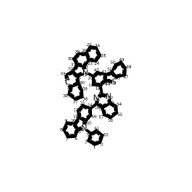 c1ccc(-n2c3ccccc3c3ccc(-c4nc(-c5cc(-n6c7c8ccccc8ccc7c7ccc8ccccc8c76)cc6c5sc5ccccc56)nc5ccccc45)cc32)cc1